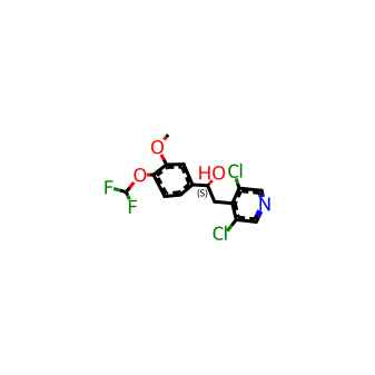 COc1cc([C@@H](O)Cc2c(Cl)cncc2Cl)ccc1OC(F)F